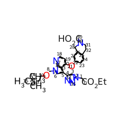 CCOC(=O)Cn1cc(-c2cn(COCC[Si](C)(C)C)c3nccc(Oc4ccc5c(c4)CN(C(=O)O)CC5)c23)nn1